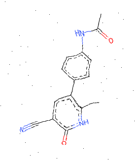 CC(=O)Nc1ccc(-c2cc(C#N)c(=O)[nH]c2C)cc1